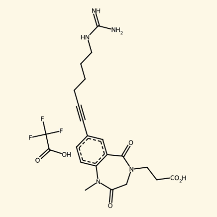 CN1C(=O)CN(CCC(=O)O)C(=O)c2cc(C#CCCCCNC(=N)N)ccc21.O=C(O)C(F)(F)F